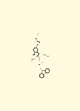 CCCCOc1c(CCNC(=O)OCC2c3ccccc3-c3ccccc32)n(CC(C)C)c(=O)c2ccc(-c3nc(C(=O)OCC)cs3)cc12